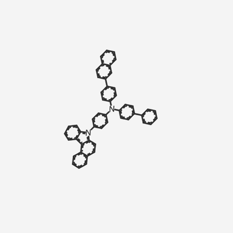 c1ccc(-c2ccc(N(c3ccc(-c4ccc5ccccc5c4)cc3)c3ccc(-n4c5ccccc5c5c6ccccc6ccc54)cc3)cc2)cc1